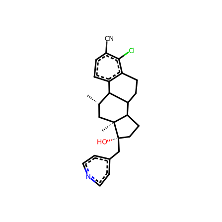 C[C@H]1C[C@@]2(C)C(CC[C@@]2(O)Cc2ccncc2)C2CCc3c(ccc(C#N)c3Cl)C21